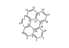 C=C.c1cc2cccc3c4cccc5cccc(c(c1)c23)c54